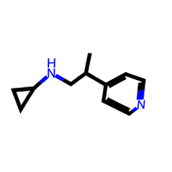 CC(CNC1CC1)c1ccncc1